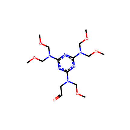 COCN(CC=O)c1nc(N(COC)COC)nc(N(COC)COC)n1